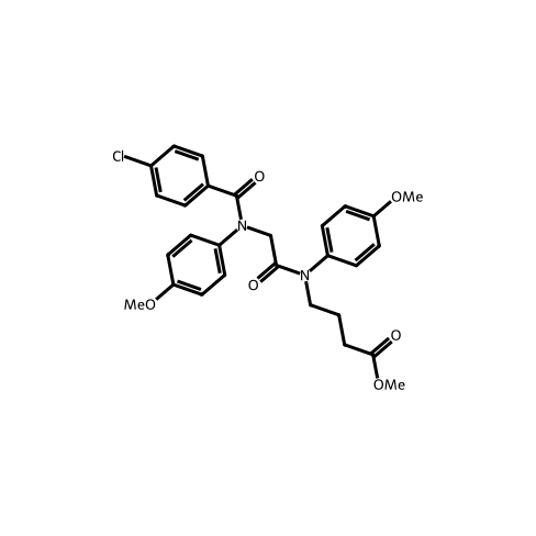 COC(=O)CCCN(C(=O)CN(C(=O)c1ccc(Cl)cc1)c1ccc(OC)cc1)c1ccc(OC)cc1